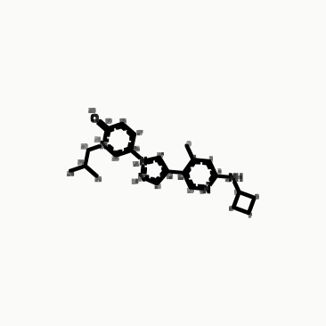 Cc1cc(NC2CCC2)ncc1-c1cnn(-c2ccc(=O)n(CC(C)C)c2)c1